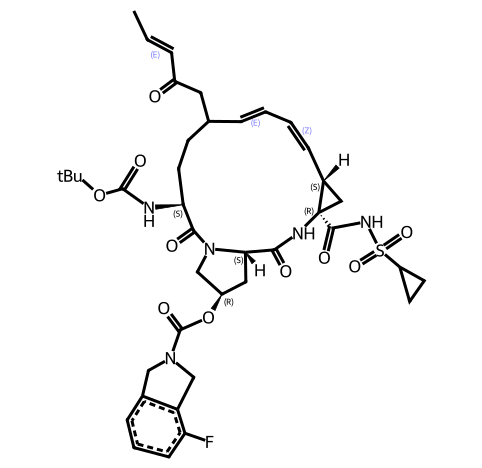 C/C=C/C(=O)CC1/C=C/C=C\[C@@H]2C[C@@]2(C(=O)NS(=O)(=O)C2CC2)NC(=O)[C@@H]2C[C@@H](OC(=O)N3Cc4cccc(F)c4C3)CN2C(=O)[C@@H](NC(=O)OC(C)(C)C)CC1